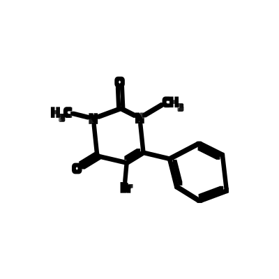 Cn1c(-c2ccccc2)c(Br)c(=O)n(C)c1=O